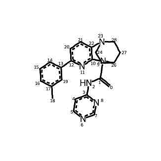 C=C(Nc1ccncn1)N1c2nc(-c3cccc(C)c3)ccc2N2CCC1CC2